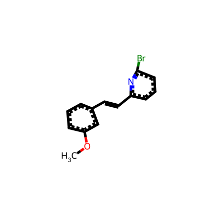 COc1cccc(C=Cc2cccc(Br)n2)c1